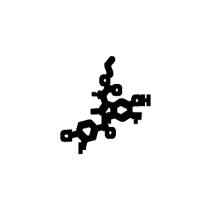 CCCOC(=O)[C@@H](C)c1c(C)n(C(=O)c2ccc(Cl)c(F)c2)c2cc(F)c(O)cc12